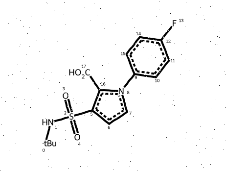 CC(C)(C)NS(=O)(=O)c1ccn(-c2ccc(F)cc2)c1C(=O)O